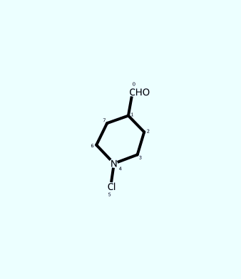 O=CC1CCN(Cl)CC1